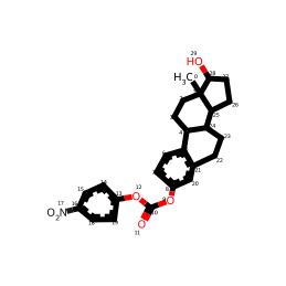 CC12CCC3c4ccc(OC(=O)Oc5ccc([N+](=O)[O-])cc5)cc4CCC3C1CCC2O